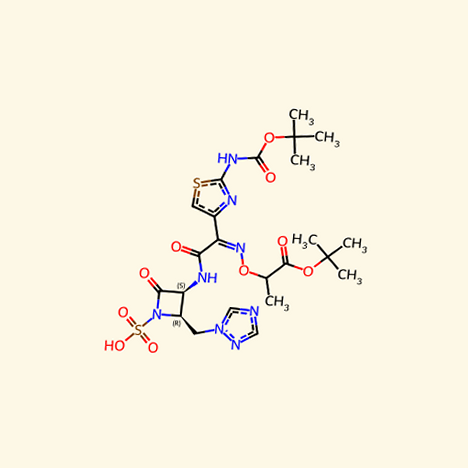 CC(ON=C(C(=O)N[C@@H]1C(=O)N(S(=O)(=O)O)[C@@H]1Cn1cncn1)c1csc(NC(=O)OC(C)(C)C)n1)C(=O)OC(C)(C)C